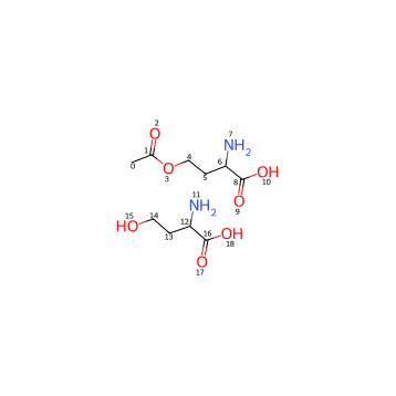 CC(=O)OCCC(N)C(=O)O.NC(CCO)C(=O)O